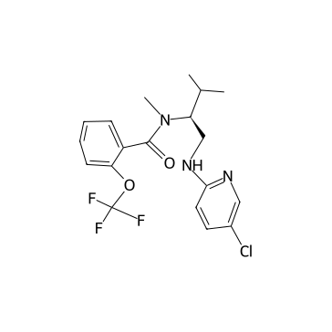 CC(C)[C@@H](CNc1ccc(Cl)cn1)N(C)C(=O)c1ccccc1OC(F)(F)F